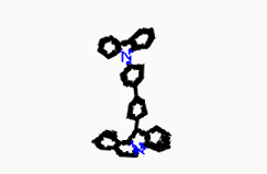 c1ccc2c(c1)ccn1c3ccccc3c(-c3ccc(-c4ccc(-n5c6ccccc6c6ccccc65)cc4)cc3)c21